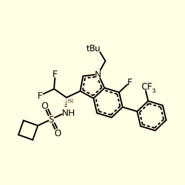 CC(C)(C)Cn1cc([C@H](NS(=O)(=O)C2CCC2)C(F)F)c2ccc(-c3ccccc3C(F)(F)F)c(F)c21